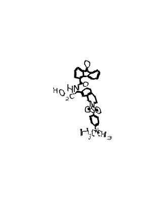 CN(C)c1ccc(S(=O)(=O)N2CCc3ccc(C(NC(=O)c4cccc5c4-c4ccccc4C5=O)C(=O)O)cc3C2)cc1